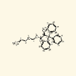 C=CCOCOC(=O)C(=C)C(c1ccccc1)(c1ccccc1)c1ccccc1